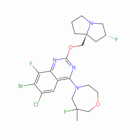 CC1(F)COCCN(c2nc(OC[C@@]34CCCN3C[C@H](F)C4)nc3c(F)c(Br)c(Cl)cc23)C1